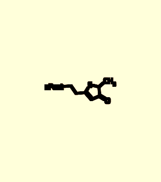 CCCCCCCC1=CC(=O)C(C)S1